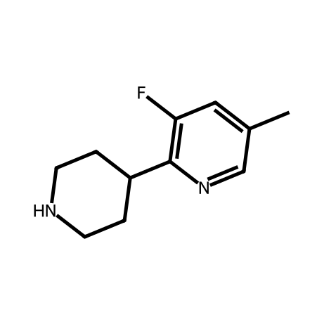 Cc1cnc(C2CCNCC2)c(F)c1